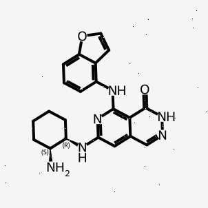 N[C@H]1CCCC[C@H]1Nc1cc2cn[nH]c(=O)c2c(Nc2cccc3occc23)n1